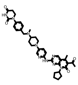 CC(=O)c1c(C)c2cnc(Nc3ccc(N4CCC(N(C)Cc5ccc(N6CCC(=O)NC6=O)cc5)CC4)cn3)nc2n(C2CCCC2)c1=O